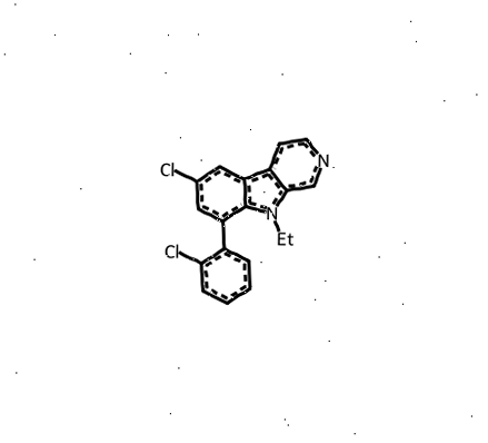 CCn1c2cnccc2c2cc(Cl)cc(-c3ccccc3Cl)c21